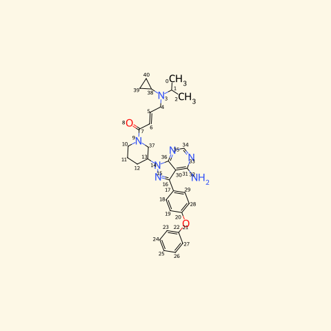 CC(C)N(C/C=C/C(=O)N1CCCC(n2nc(-c3ccc(Oc4ccccc4)cc3)c3c(N)ncnc32)C1)C1CC1